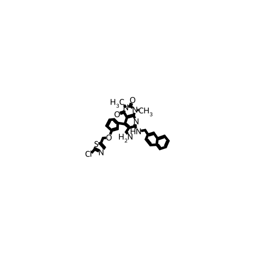 Cn1c(=O)c2c(-c3cccc(OCc4cnc(Cl)s4)c3)c(CN)c(NCc3ccc4ccccc4c3)nc2n(C)c1=O